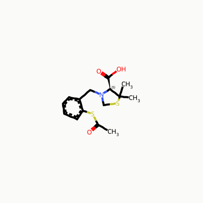 CC(=O)Sc1ccccc1CN1CSC(C)(C)[C@@H]1C(=O)O